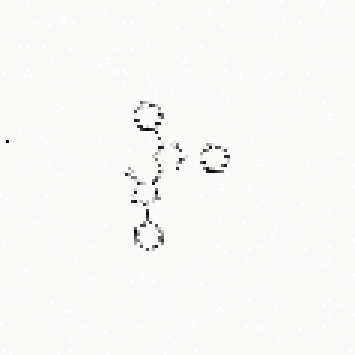 O=C1OC(c2ccccc2)=NC1=C1C=C(c2ccccc2)SC(c2ccccc2)=C1